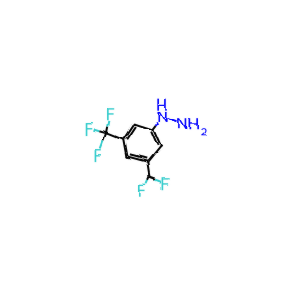 NNc1cc(C(F)F)cc(C(F)(F)F)c1